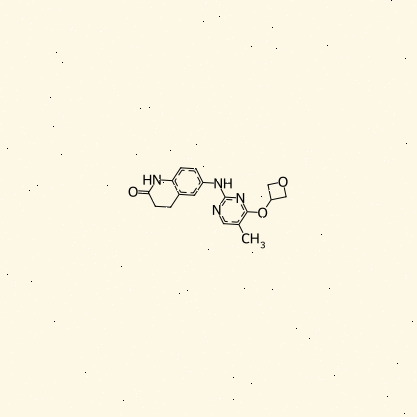 Cc1cnc(Nc2ccc3c(c2)CCC(=O)N3)nc1OC1COC1